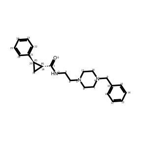 O=C(NCCN1CCN(Cc2ccccc2)CC1)[C@@H]1C[C@H]1c1ccccc1